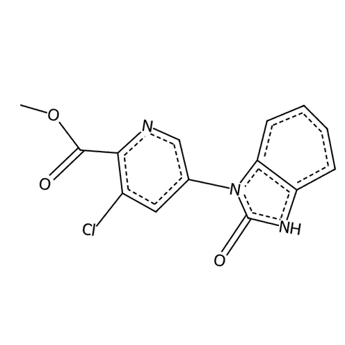 COC(=O)c1ncc(-n2c(=O)[nH]c3ccccc32)cc1Cl